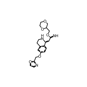 N=C(/C=C1\NCCc2cc(OCc3ncco3)ccc21)OCC1COCCO1